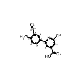 [C-]#[N+]c1cc(-c2cc(C(=O)O)cc(Cl)n2)ccc1C